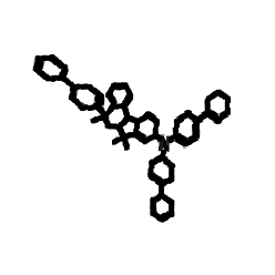 CC1(C2=CCC(C3C=CC=CC3)CC2)CC2C(c3ccccc31)C1CCC(N(C3=CC=C(C4=CCCCC4)CC3)C3CC=C(C4C=CC=CC4)CC3)C=C1C2(C)C